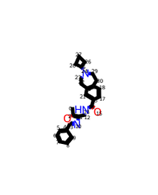 Cc1oc(-c2ccccc2)nc1CNC(=O)c1ccc2c(c1)CCN(C1CCC1)CC2